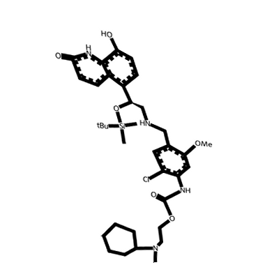 COc1cc(NC(=O)OCCN(C)C2CC[CH]CC2)c(Cl)cc1CNC[C@@H](O[Si](C)(C)C(C)(C)C)c1ccc(O)c2[nH]c(=O)ccc12